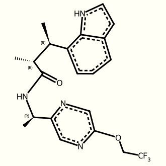 C[C@@H](NC(=O)[C@H](C)[C@@H](C)c1cccc2cc[nH]c12)c1cnc(OCC(F)(F)F)cn1